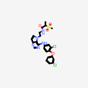 CC(C(=O)NCCn1ccc2ncnc(Nc3ccc(Oc4cccc(Cl)c4)c(Cl)c3)c21)S(C)(=O)=O